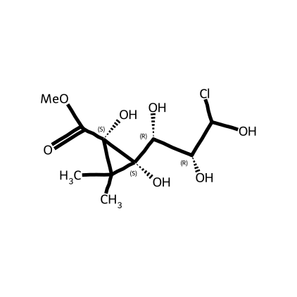 COC(=O)[C@]1(O)C(C)(C)[C@]1(O)[C@H](O)[C@@H](O)C(O)Cl